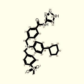 CS(=O)(=O)c1ccc(CN(Cc2ccc(C(=O)Nc3nn[nH]n3)cc2)c2ccc(C3CCCCC3)cc2)cc1